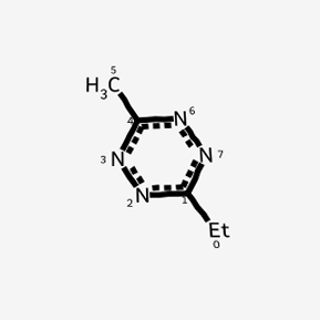 CCc1nnc(C)nn1